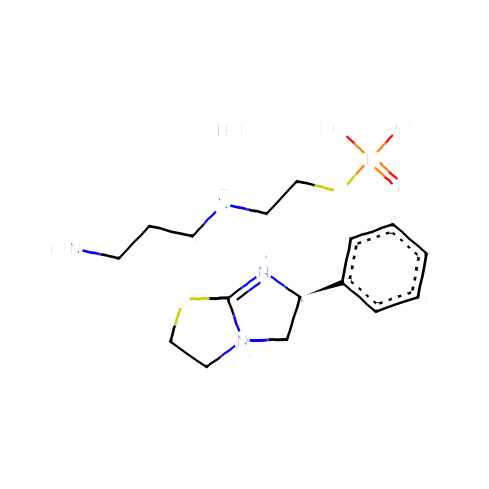 Cl.NCCCNCCSP(=O)(O)O.c1ccc([C@H]2CN3CCSC3=N2)cc1